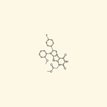 COC(=O)Cn1c(=O)[nH]c(=O)c2c1nc1n(-c3ccccc3OC)c(-c3ccc(F)cc3)cn21